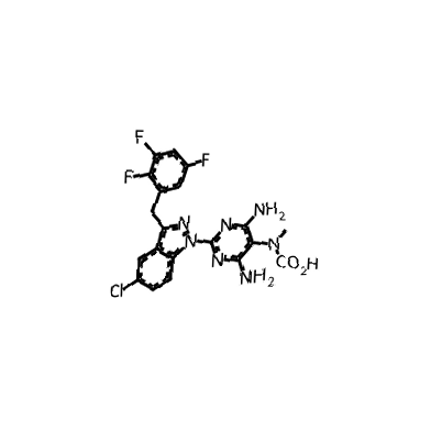 CN(C(=O)O)c1c(N)nc(-n2nc(Cc3cc(F)cc(F)c3F)c3cc(Cl)ccc32)nc1N